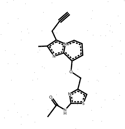 C#CCc1c(C)nc2c(OCc3csc(NC(C)=O)n3)cccn12